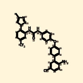 Cc1cn(-c2ccc(C(F)(F)F)cc2NC(=O)Nc2cnc(Oc3ccc(-c4cc(Cl)cnc4N)cc3)nc2)nn1